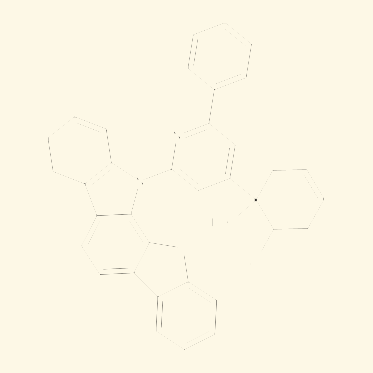 CC1CC=CCC1(C)c1cc(-c2ccccc2)nc(-n2c3c(c4ccc5c6ccccc6sc5c42)CCC=C3)c1